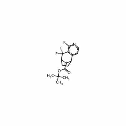 CC(C)(C)OC(=O)N1C2CCC1C(F)(F)c1c2ccnc1F